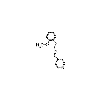 COc1ccccc1CCN=Cc1ccncc1